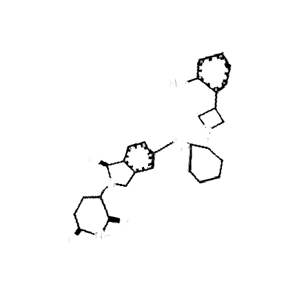 O=C1CCC(N2Cc3cc(O[C@@H]4CCCC[C@H]4N4CC(c5ccccc5O)C4)ccc3C2=O)C(=O)N1